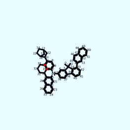 CC1(C)c2cc(N(c3ccc(C4CC5CCC4C5)cc3)c3cc4ccccc4cc3C3CCCCC3)ccc2-c2cccc(-c3ccc4ccccc4c3)c21